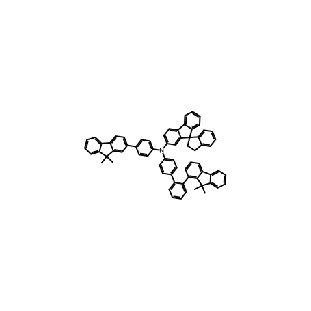 CC1(C)c2ccccc2-c2ccc(-c3ccc(N(c4ccc(-c5ccccc5-c5cccc6c5C(C)(C)c5ccccc5-6)cc4)c4ccc5c(c4)C4(CCc6ccccc64)c4ccccc4-5)cc3)cc21